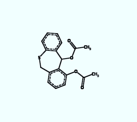 CC(=O)Oc1cccc2c1C(OC(C)=O)c1ccccc1SC2